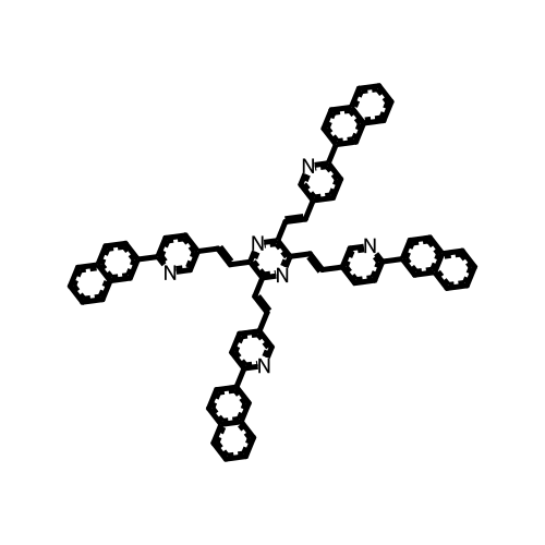 C(=Cc1nc(C=Cc2ccc(-c3ccc4ccccc4c3)nc2)c(C=Cc2ccc(-c3ccc4ccccc4c3)nc2)nc1C=Cc1ccc(-c2ccc3ccccc3c2)nc1)c1ccc(-c2ccc3ccccc3c2)nc1